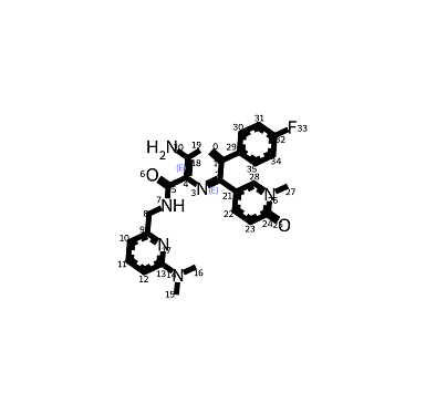 C=C(/C(=N\C(C(=O)NCc1cccc(N(C)C)n1)=C(/C)N)c1ccc(=O)n(C)c1)c1ccc(F)cc1